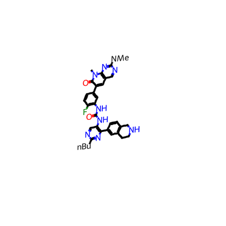 CCCCc1ncc(NC(=O)Nc2cc(-c3cc4cnc(NC)nc4n(C)c3=O)ccc2F)c(-c2ccc3c(c2)CCNC3)n1